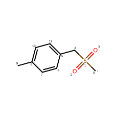 [CH2]S(=O)(=O)Cc1ccc(C)cc1